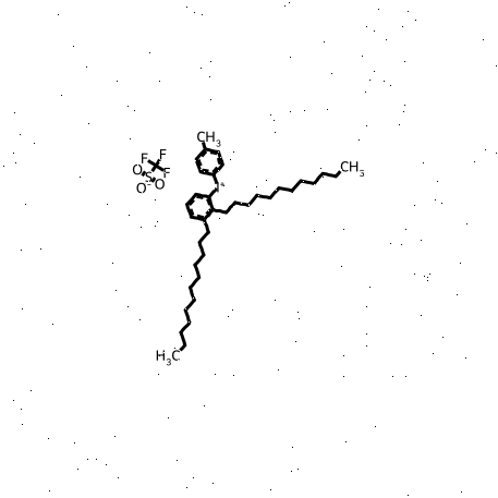 CCCCCCCCCCCCc1cccc([I+]c2ccc(C)cc2)c1CCCCCCCCCCCC.O=S(=O)([O-])C(F)(F)F